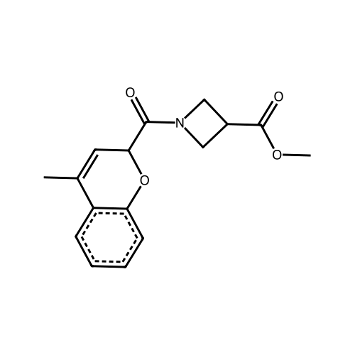 COC(=O)C1CN(C(=O)C2C=C(C)c3ccccc3O2)C1